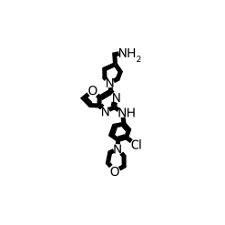 NCC1CCN(c2nc(Nc3ccc(N4CCOCC4)c(Cl)c3)nc3ccoc23)CC1